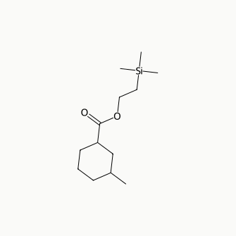 CC1CCCC(C(=O)OCC[Si](C)(C)C)C1